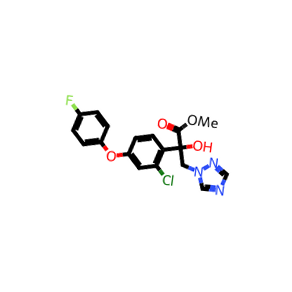 COC(=O)C(O)(Cn1cncn1)c1ccc(Oc2ccc(F)cc2)cc1Cl